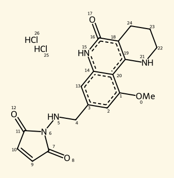 COc1cc(CNN2C(=O)C=CC2=O)cc2[nH]c(=O)c3c(c12)NCCC3.Cl.Cl